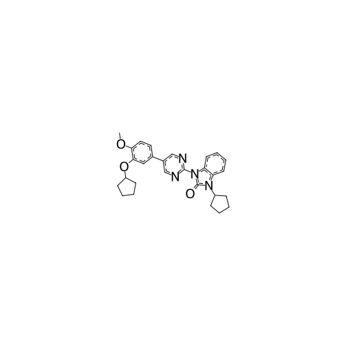 COc1ccc(-c2cnc(-n3c(=O)n(C4CCCC4)c4ccccc43)nc2)cc1OC1CCCC1